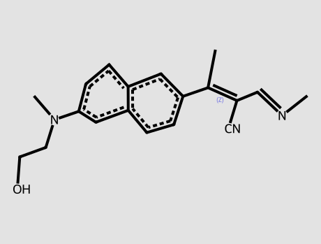 CN=C/C(C#N)=C(\C)c1ccc2cc(N(C)CCO)ccc2c1